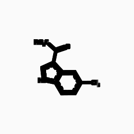 CCOC(=O)C(=O)c1c[nH]c2ccc(C(F)(F)F)cc12